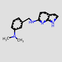 CN(C)c1cccc(CNc2ccc3cc[nH]c3n2)c1